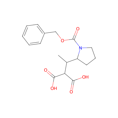 CC(C(C(=O)O)C(=O)O)C1CCCN1C(=O)OCc1ccccc1